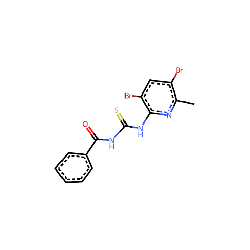 Cc1nc(NC(=S)NC(=O)c2ccccc2)c(Br)cc1Br